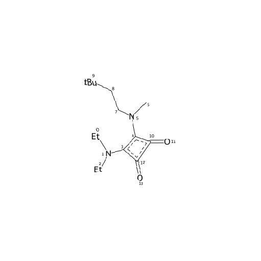 CCN(CC)c1c(N(C)CCC(C)(C)C)c(=O)c1=O